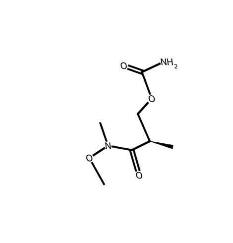 CON(C)C(=O)[C@H](C)COC(N)=O